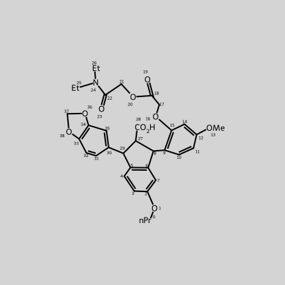 CCCOc1ccc2c(c1)C(c1ccc(OC)cc1OCC(=O)OCC(=O)N(CC)CC)C(C(=O)O)C2c1ccc2c(c1)OCO2